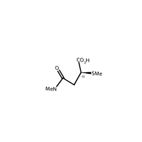 CNC(=O)C[C@H](SC)C(=O)O